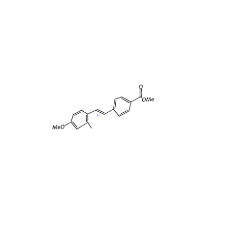 COC(=O)c1ccc(/C=C/c2ccc(OC)cc2C)cc1